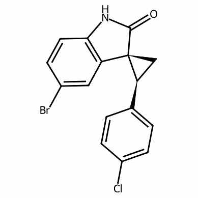 O=C1Nc2ccc(Br)cc2[C@]12C[C@H]2c1ccc(Cl)cc1